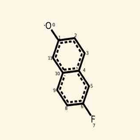 [O]c1ccc2cc(F)ccc2c1